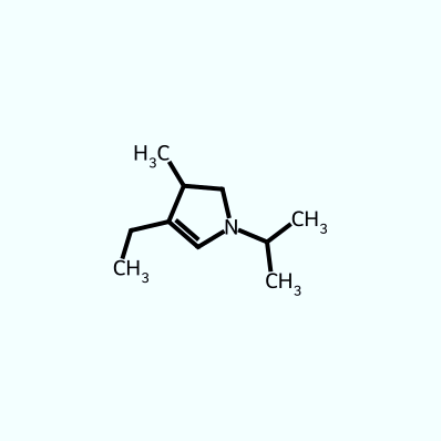 CCC1=CN(C(C)C)CC1C